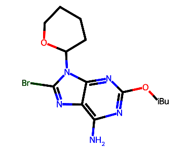 CCC(C)Oc1nc(N)c2nc(Br)n(C3CCCCO3)c2n1